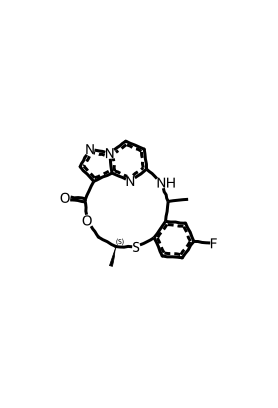 CC1Nc2ccn3ncc(c3n2)C(=O)OC[C@H](C)Sc2ccc(F)cc21